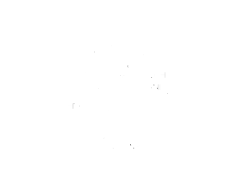 CCc1cccc(CC)c1C(N)c1cccnc1